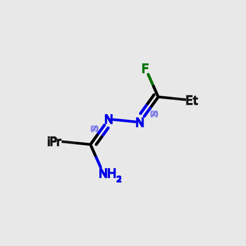 CC/C(F)=N/N=C(\N)C(C)C